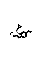 C=Cc1ccc2cc(C=O)n(CC3CC3)c2c1